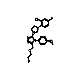 COc1ccc(-n2c(COCCF)nnc2N2CC[C@@H](c3ccc(F)cc3Cl)C2)cn1